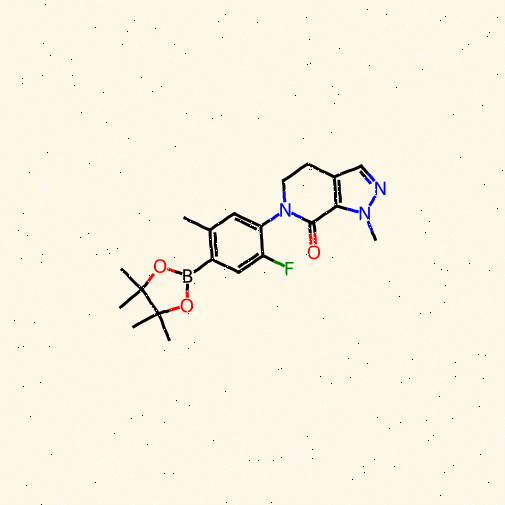 Cc1cc(N2CCc3cnn(C)c3C2=O)c(F)cc1B1OC(C)(C)C(C)(C)O1